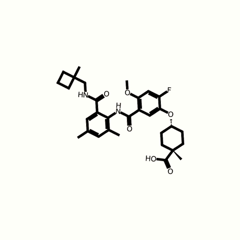 COc1cc(F)c(O[C@H]2CC[C@@](C)(C(=O)O)CC2)cc1C(=O)Nc1c(C)cc(C)cc1C(=O)NCC1(C)CCC1